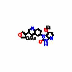 CCOc1ccnc2[nH]c(=O)n(-c3ccc4ncc(-c5ccoc5)c(OC)c4c3)c12